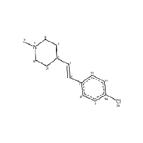 CN1CCC(/C=C/c2ccc(Cl)cc2)CC1